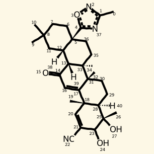 Cc1noc([C@]23CCC(C)(C)C[C@H]2[C@H]2C(=O)C=C4[C@@]5(C)C=C(C#N)C(O)[C@@](C)(O)[C@@H]5CC[C@@]4(C)[C@]2(C)CC3)n1